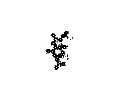 CC1(C)c2ccccc2-c2ccc(-c3cc(-c4cccc(-c5cc(-c6ccccc6)cc(-c6cccc(-c7ccc8c(c7)C(C)(C)c7ccccc7-8)c6)n5)c4)cc(-c4cc(-c5ccccc5)nc(-c5ccc(-c6ccc(-c7cc(-c8ccccc8)nc(-c8ccccc8)n7)cc6-c6ccc7c(c6)C(C)(C)c6ccccc6-7)cc5)c4)c3)cc21